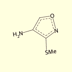 CSc1nocc1N